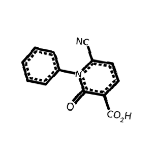 N#Cc1ccc(C(=O)O)c(=O)n1-c1ccccc1